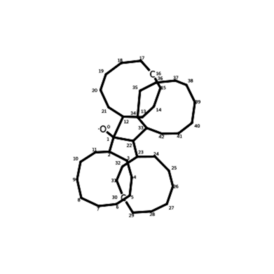 [O]C(C1CCCCCCCCC1)(C1CCCCCCCCC1)C(C1CCCCCCCCC1)C1CCCCCCCCC1